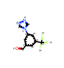 O=Cc1cc(-n2cnnc2)cc(C(F)(F)F)c1